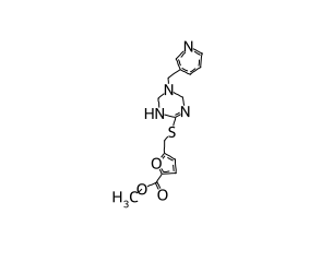 COC(=O)c1ccc(CSC2=NCN(Cc3cccnc3)CN2)o1